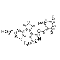 O=C(O)c1cccc(C2=C(c3cc(C(F)(F)F)cnc3OCc3c(F)cc(F)cc3F)CCC2)n1